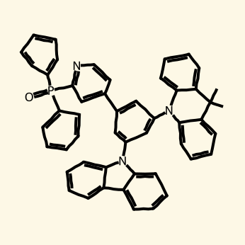 CC1(C)c2ccccc2N(c2cc(-c3ccnc(P(=O)(c4ccccc4)c4ccccc4)c3)cc(-n3c4ccccc4c4ccccc43)c2)c2ccccc21